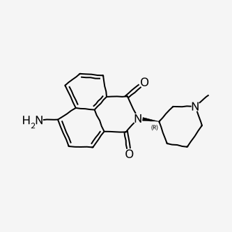 CN1CCC[C@@H](N2C(=O)c3cccc4c(N)ccc(c34)C2=O)C1